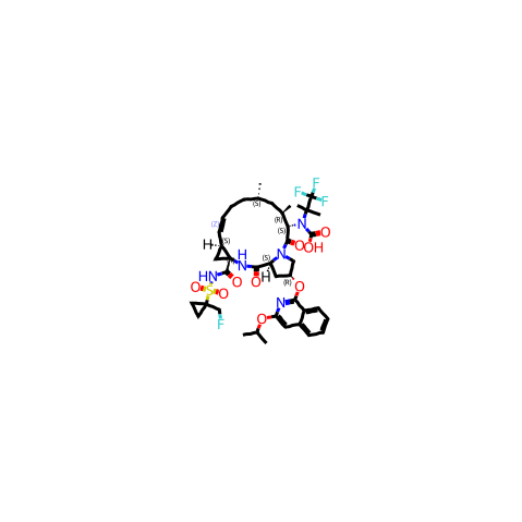 CC(C)Oc1cc2ccccc2c(O[C@@H]2C[C@H]3C(=O)N[C@]4(C(=O)NS(=O)(=O)C5(CF)CC5)C[C@H]4/C=C\CC[C@H](C)C[C@@H](C)[C@H](N(C(=O)O)C(C)(C)C(F)(F)F)C(=O)N3C2)n1